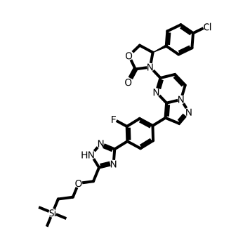 C[Si](C)(C)CCOCc1nc(-c2ccc(-c3cnn4ccc(N5C(=O)OC[C@H]5c5ccc(Cl)cc5)nc34)cc2F)n[nH]1